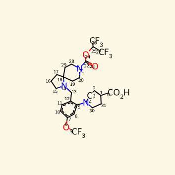 O=C(O)C1CCN(c2cc(OC(F)(F)F)ccc2CN2CCCC23CCN(C(=O)OC(C(F)(F)F)C(F)(F)F)CC3)CC1